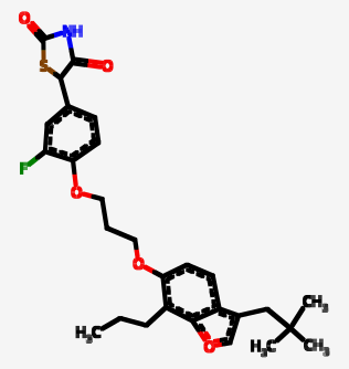 CCCc1c(OCCCOc2ccc(C3SC(=O)NC3=O)cc2F)ccc2c(CC(C)(C)C)coc12